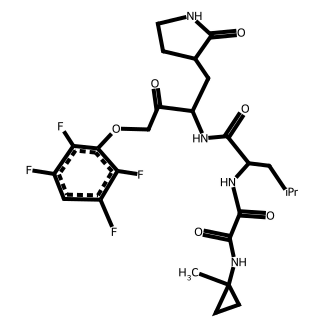 CC(C)CC(NC(=O)C(=O)NC1(C)CC1)C(=O)NC(CC1CCNC1=O)C(=O)COc1c(F)c(F)cc(F)c1F